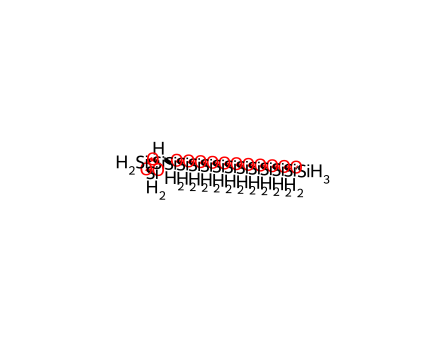 [SiH3]O[SiH2]O[SiH2]O[SiH2]O[SiH2]O[SiH2]O[SiH2]O[SiH2]O[SiH2]O[SiH2]O[SiH2]O[SiH2]C[SiH]1O[SiH2]O[SiH2]O1